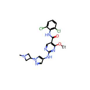 CCOc1nc(Nc2cnn(C3CN(C)C3)c2)ncc1C(=O)Nc1c(Cl)cccc1Cl